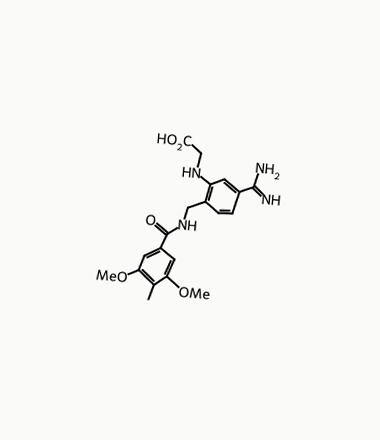 COc1cc(C(=O)NCc2ccc(C(=N)N)cc2NCC(=O)O)cc(OC)c1C